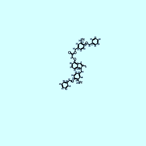 Cc1cc2c(OCC(=O)OCc3ccc(OCc4ccccc4)c(C(C)C)c3)cccc2n1Cc1ccc(OCc2ccccc2)c(C(C)C)c1